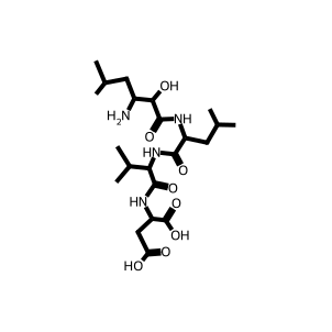 CC(C)CC(NC(=O)C(O)C(N)CC(C)C)C(=O)NC(C(=O)NC(CC(=O)O)C(=O)O)C(C)C